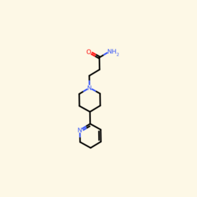 NC(=O)CCN1CCC(C2=NCCC=C2)CC1